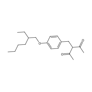 CCCCC(CC)COc1ccc(CC(C(C)=O)C(C)=O)cc1